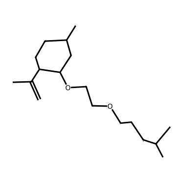 C=C(C)C1CCC(C)CC1OCCOCC[CH]C(C)C